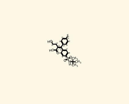 CC(C)(C)NS(=O)(=O)c1ccc(C(=C(CCO)C(=O)O)c2ccc(F)cc2)cc1